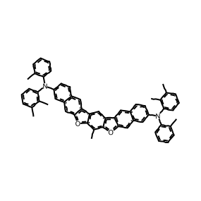 Cc1ccccc1N(c1ccc2cc3c(cc2c1)oc1c(C)c2oc4cc5cc(N(c6ccccc6C)c6cccc(C)c6C)ccc5cc4c2cc13)c1cccc(C)c1C